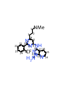 CNCCCc1cc(Nc2nn(N)c3ncccc23)nc(-c2ccccc2C(F)(F)F)n1